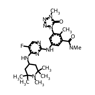 CNC(=O)c1cc(Nc2ncc(F)c(NC3CC(C)(C)N(C)C(C)(C)C3)n2)cc(-n2nnn(C)c2=O)c1C